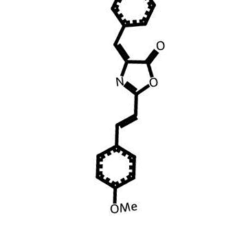 COc1ccc(/C=C/C2=NC(=Cc3ccccc3)C(=O)O2)cc1